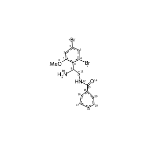 COc1cc(Br)cc(Br)c1C(N)SNC(=O)c1ccccc1